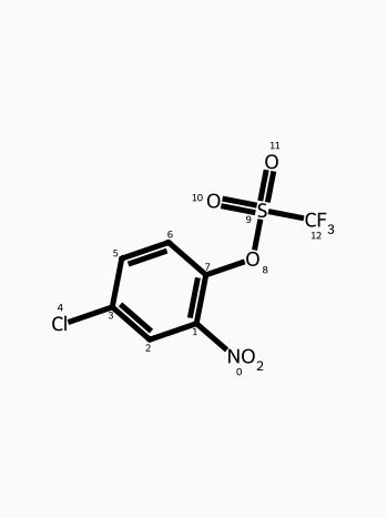 O=[N+]([O-])c1cc(Cl)ccc1OS(=O)(=O)C(F)(F)F